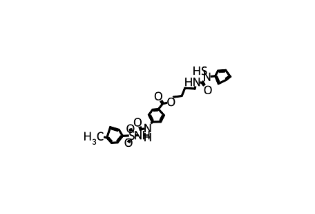 Cc1ccc(S(=O)(=O)NC(=O)Nc2ccc(C(=O)OCCCCNC(=O)N(S)c3ccccc3)cc2)cc1